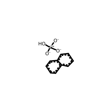 [O-][I+3]([O-])([O-])O.c1ccc2ccccc2c1